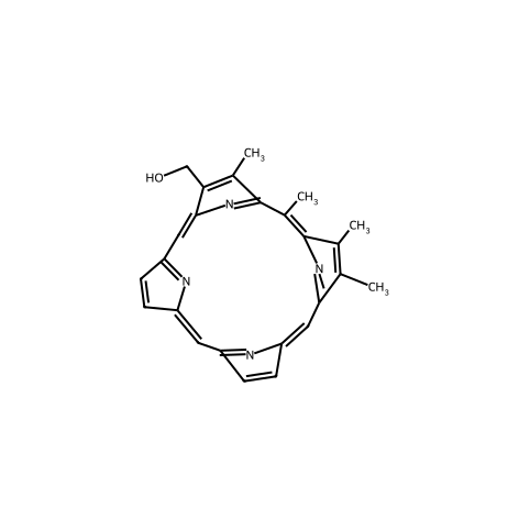 CC1=C(C)C2=C(C)C3=NC(=CC4=NC(=CC5=NC(=CC1=N2)C=C5)C=C4)C(CO)=C3C